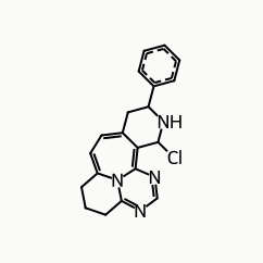 ClC1NC(c2ccccc2)CC2=CC=C3CCCC4=NC=NC(=C21)N34